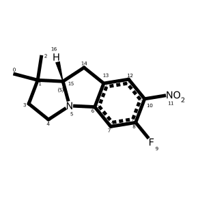 CC1(C)CCN2c3cc(F)c([N+](=O)[O-])cc3C[C@H]21